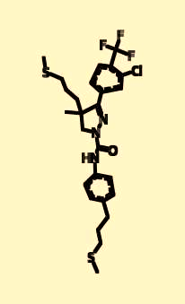 CSCCCc1ccc(NC(=O)N2CC(C)(CCCSC)C(c3ccc(C(F)(F)F)c(Cl)c3)=N2)cc1